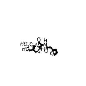 O=C(Cc1ccco1)NC1C(=O)N2C(C(=O)O)=C(CO)CS[C@@H]12